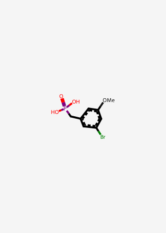 COc1cc(Br)cc(CP(=O)(O)O)c1